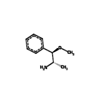 CO[C@H](c1ccccc1)[C@H](C)N